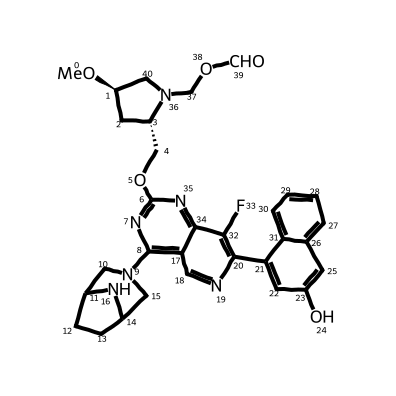 CO[C@@H]1C[C@@H](COc2nc(N3CC4CCC(C3)N4)c3cnc(-c4cc(O)cc5ccccc45)c(F)c3n2)N(COC=O)C1